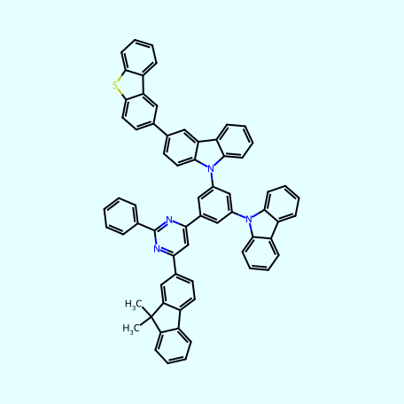 CC1(C)c2ccccc2-c2ccc(-c3cc(-c4cc(-n5c6ccccc6c6ccccc65)cc(-n5c6ccccc6c6cc(-c7ccc8sc9ccccc9c8c7)ccc65)c4)nc(-c4ccccc4)n3)cc21